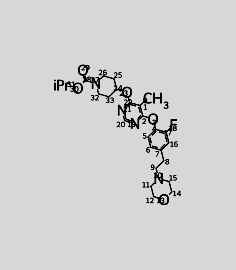 Cc1c(Oc2ccc(CCN3CCOCC3)cc2F)ncnc1OC1CCN(C(=O)OC(C)C)CC1